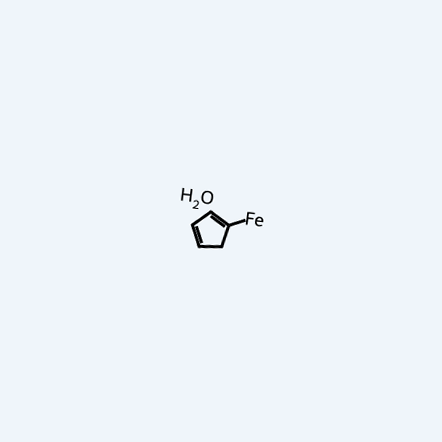 O.[Fe][C]1=CC=CC1